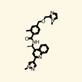 Cc1cc(COCc2nccn2C)ccc1C(=O)N[C@H](C)c1cc(-c2cnn(C)c2)nc2ccccc12